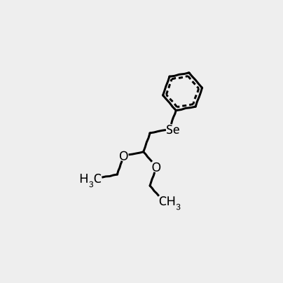 CCOC(C[Se]c1ccccc1)OCC